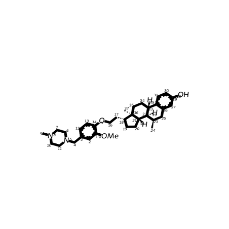 COc1cc(CN2CCN(C)CC2)ccc1OCC[C@H]1CC[C@H]2[C@@H]3[C@H](C)Cc4cc(O)ccc4[C@H]3CC[C@]12C